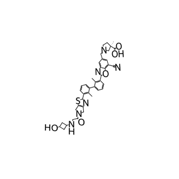 Cc1c(-c2nc3cc(CN4CC[C@@](C)(C(=O)O)C4)cc(C#N)c3o2)cccc1-c1cccc(-c2nc3c(s2)CN(C(=O)CNC2CC(O)C2)C3)c1C